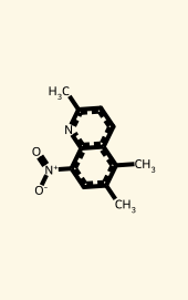 Cc1ccc2c(C)c(C)cc([N+](=O)[O-])c2n1